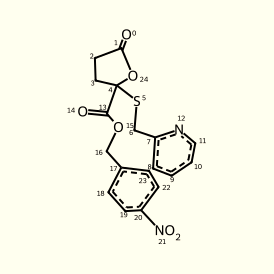 O=C1CCC(SCc2ccccn2)(C(=O)OCc2ccc([N+](=O)[O-])cc2)O1